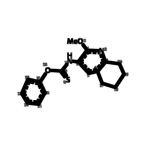 COc1nc2c(cc1NC(=S)Oc1ccccc1)CCCC2